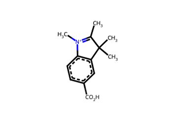 CC1=[N+](C)c2ccc(C(=O)O)cc2C1(C)C